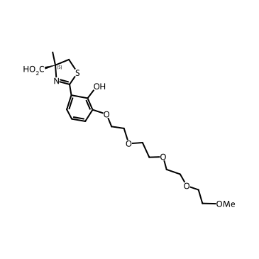 COCCOCCOCCOCCOc1cccc(C2=N[C@@](C)(C(=O)O)CS2)c1O